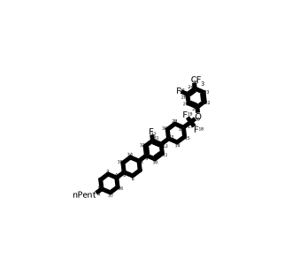 CCCCCC1CCC(C2CCC(c3ccc(C4CCC(C(F)(F)Oc5ccc(C(F)(F)F)c(F)c5)CC4)c(F)c3)CC2)CC1